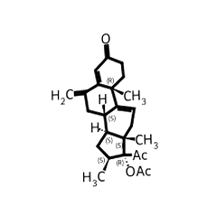 C=C1C[C@@H]2C(=CC[C@@]3(C)[C@H]2C[C@H](C)[C@]3(OC(C)=O)C(C)=O)[C@@]2(C)CCC(=O)C=C12